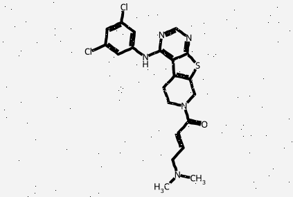 CN(C)C/C=C/C(=O)N1CCc2c(sc3ncnc(Nc4cc(Cl)cc(Cl)c4)c23)C1